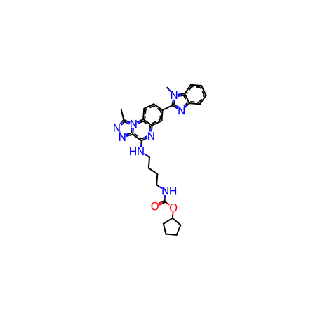 Cc1nnc2c(NCCCCNC(=O)OC3CCCC3)nc3cc(-c4nc5ccccc5n4C)ccc3n12